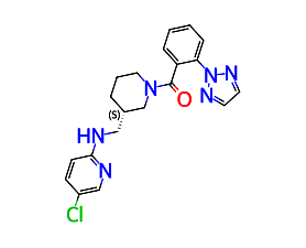 O=C(c1ccccc1-n1nccn1)N1CCC[C@@H](CNc2ccc(Cl)cn2)C1